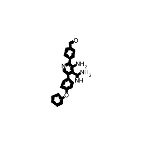 N=C(N)c1c(-c2ccc(Oc3ccccc3)cc2)cnc(-c2ccc(C=O)cc2)c1N